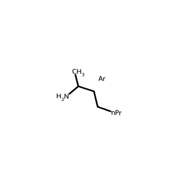 CCCCCC(C)N.[Ar]